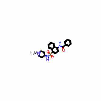 BN1CCC(NS(=O)(=O)c2ccc(NC(=O)c3ccccc3)c3ccccc23)CC1